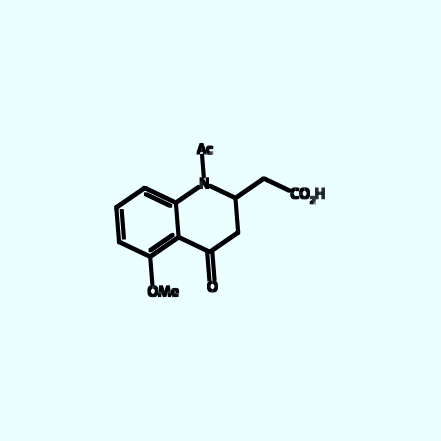 COc1cccc2c1C(=O)CC(CC(=O)O)N2C(C)=O